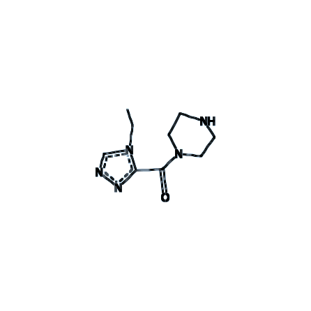 CCn1cnnc1C(=O)N1CCNCC1